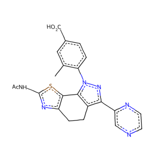 CC(=O)Nc1nc2c(s1)-c1c(c(-c3cnccn3)nn1-c1ccc(C(=O)O)cc1C)CC2